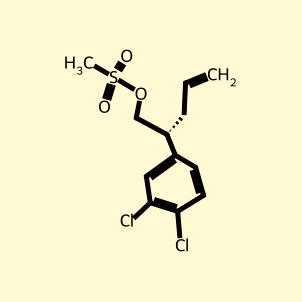 C=CC[C@@H](COS(C)(=O)=O)c1ccc(Cl)c(Cl)c1